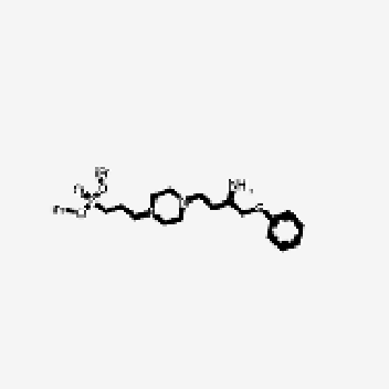 CC(C)OP(=O)(CCCN1CCN(CCC(N)CSc2ccccc2)CC1)OC(C)C